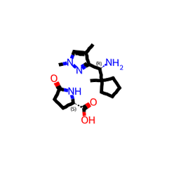 Cc1cn(C)nc1[C@H](N)C1(C)CCCC1.O=C1CC[C@@H](C(=O)O)N1